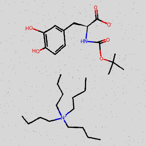 CC(C)(C)OC(=O)N[C@@H](Cc1ccc(O)c(O)c1)C(=O)[O-].CCCC[N+](CCCC)(CCCC)CCCC